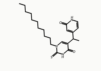 CCCCCCCCCCCn1cc(C(C)c2cc[nH]c(=O)c2)c(=O)[nH]c1=S